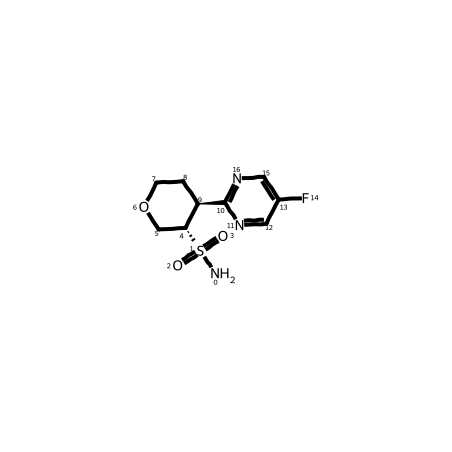 NS(=O)(=O)[C@@H]1COCC[C@H]1c1ncc(F)cn1